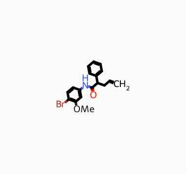 C=CCC(C(=O)Nc1ccc(Br)c(OC)c1)c1ccccc1